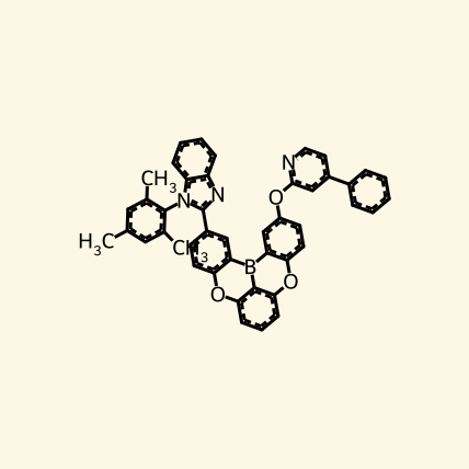 Cc1cc(C)c(-n2c(-c3ccc4c(c3)B3c5cc(Oc6cc(-c7ccccc7)ccn6)ccc5Oc5cccc(c53)O4)nc3ccccc32)c(C)c1